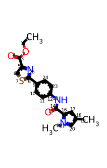 CCOC(=O)c1csc(-c2ccc(NC(=O)c3cc(C)cn3C)cc2)n1